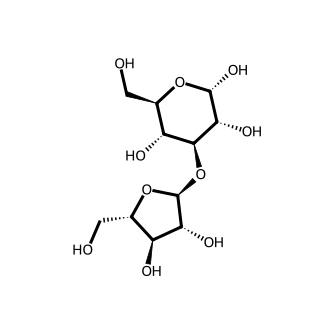 OC[C@@H]1O[C@@H](O[C@@H]2[C@@H](O)[C@@H](O)O[C@H](CO)[C@H]2O)[C@H](O)[C@H]1O